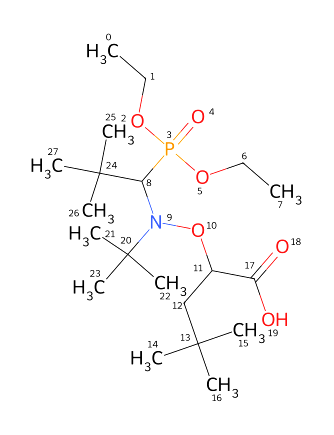 CCOP(=O)(OCC)C(N(OC(CC(C)(C)C)C(=O)O)C(C)(C)C)C(C)(C)C